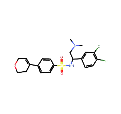 CN(C)CC(NS(=O)(=O)c1ccc(C2=CCOCC2)cc1)c1ccc(Cl)c(Cl)c1